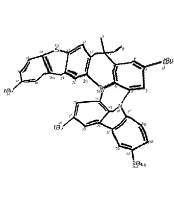 CC(C)(C)c1cc2c3c(c1)C(C)(C)c1cc4sc5ccc(C(C)(C)C)cc5c4cc1B3c1cc(C(C)(C)C)cc3c4cc(C(C)(C)C)ccc4n-2c13